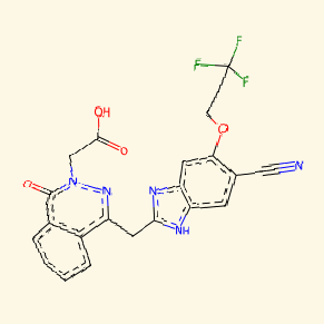 N#Cc1cc2[nH]c(Cc3nn(CC(=O)O)c(=O)c4ccccc34)nc2cc1OCC(F)(F)F